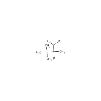 CC(C)(C)C(C)(F)C(F)F